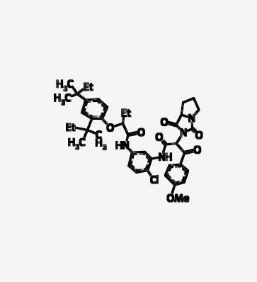 CCC(Oc1ccc(C(C)(C)CC)cc1C(C)(C)CC)C(=O)Nc1ccc(Cl)c(NC(=O)C(C(=O)c2ccc(OC)cc2)N2C(=O)C3CCCN3C2=O)c1